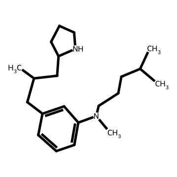 CC(C)CCCN(C)c1cccc(CC(C)CC2CCCN2)c1